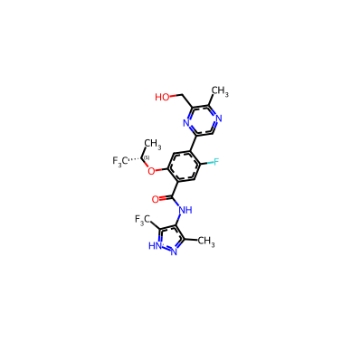 Cc1ncc(-c2cc(O[C@@H](C)C(F)(F)F)c(C(=O)Nc3c(C)n[nH]c3C(F)(F)F)cc2F)nc1CO